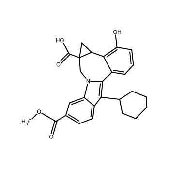 COC(=O)c1ccc2c(C3CCCCC3)c3n(c2c1)CC1(C(=O)O)CC1c1c(O)cccc1-3